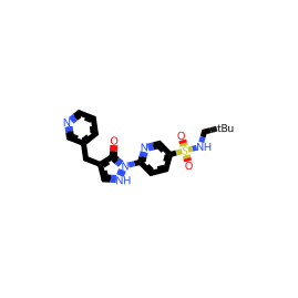 CC(C)(C)CNS(=O)(=O)c1ccc(-n2[nH]cc(Cc3cccnc3)c2=O)nc1